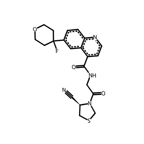 N#C[C@@H]1CSCN1C(=O)CNC(=O)c1ccnc2ccc(C3(F)CCOCC3)cc12